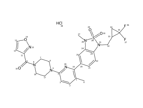 Cc1ccc(N2CCN(C(=O)c3ccon3)CC2)nc1-c1ccc2c(c1)N(C)S(=O)(=O)N2CC1CC1(F)F.Cl